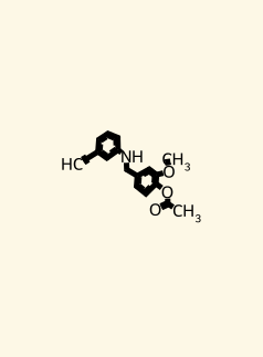 C#Cc1cccc(NCc2ccc(OC(C)=O)c(OC)c2)c1